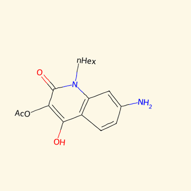 CCCCCCn1c(=O)c(OC(C)=O)c(O)c2ccc(N)cc21